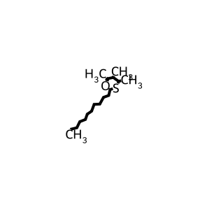 CCCCCCCCCCCCSC(C)C(C)C(C)=O